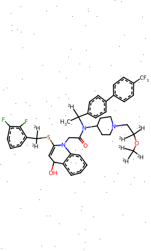 [2H]C([2H])([2H])OC([2H])([2H])CN1CCC(N(C(=O)CN2C(SC([2H])([2H])c3cccc(F)c3F)=CC(O)c3ccccc32)C([2H])(C)c2ccc(-c3ccc(C(F)(F)F)cc3)cc2)CC1